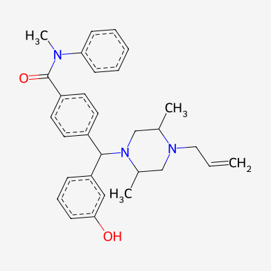 C=CCN1CC(C)N(C(c2ccc(C(=O)N(C)c3ccccc3)cc2)c2cccc(O)c2)CC1C